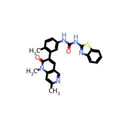 Cc1cc2c(cn1)cc(-c1cc(NC(=O)Nc3nc4ccccc4s3)ccc1C)c(=O)n2C